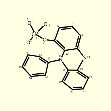 [O-][Cl+3]([O-])([O-])Oc1cccc2c1N(c1ccccc1)c1ccccc1S2